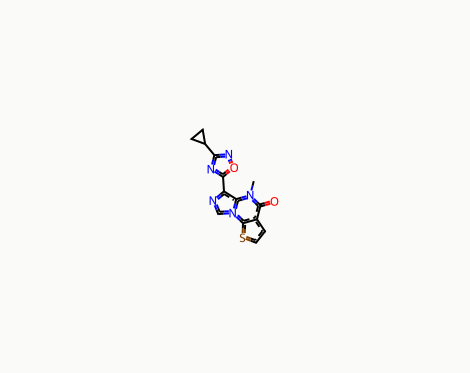 Cn1c(=O)c2ccsc2n2cnc(-c3nc(C4CC4)no3)c12